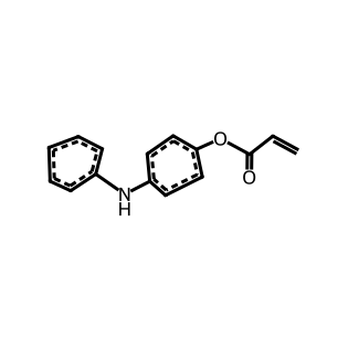 C=CC(=O)Oc1ccc(Nc2ccccc2)cc1